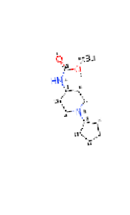 CC(C)(C)OC(=O)NC1CCN(C2CCCC2)CC1